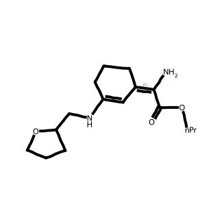 CCCOC(=O)/C(N)=C1\C=C(NCC2CCCO2)CCC1